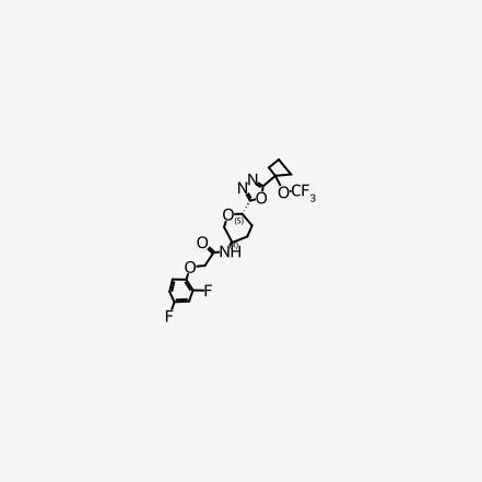 O=C(COc1ccc(F)cc1F)N[C@@H]1CC[C@@H](c2nnc(C3(OC(F)(F)F)CCC3)o2)OC1